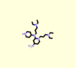 CCN(CC)CCCN1CCC(N)CC1N(CCCN(CC)CC)C1CCNCC1